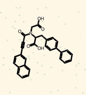 O=C(O)CN(C(=O)C#Cc1ccc2ccccc2c1)C(Cc1ccc(-c2ccccc2)cc1)C(=O)O